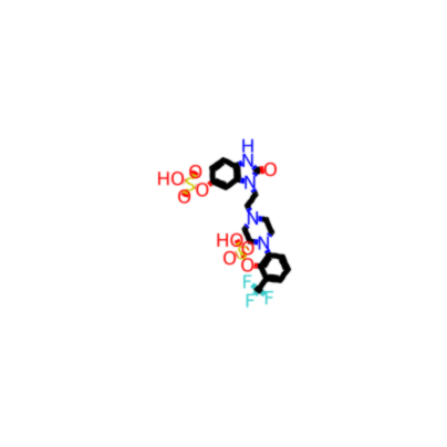 O=c1[nH]c2ccc(OS(=O)(=O)O)cc2n1CCN1CCN(c2cccc(C(F)(F)F)c2OS(=O)(=O)O)CC1